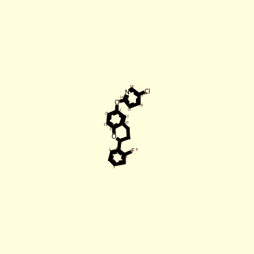 Fc1ccccc1C1CCc2cc(Oc3ccc(Cl)cn3)ccc2O1